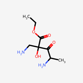 CCOC(=O)C(O)(CN)C(=O)C(C)N